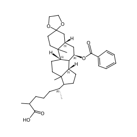 CC(CCC[C@@H](C)C1CC[C@H]2C3[C@H](OC(=O)c4ccccc4)C[C@H]4CC5(CCC4(C)[C@H]3CCC12C)OCCO5)C(=O)O